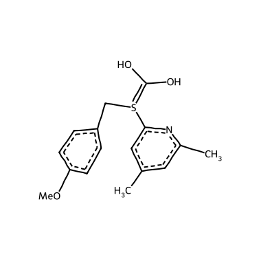 COc1ccc(CS(=C(O)O)c2cc(C)cc(C)n2)cc1